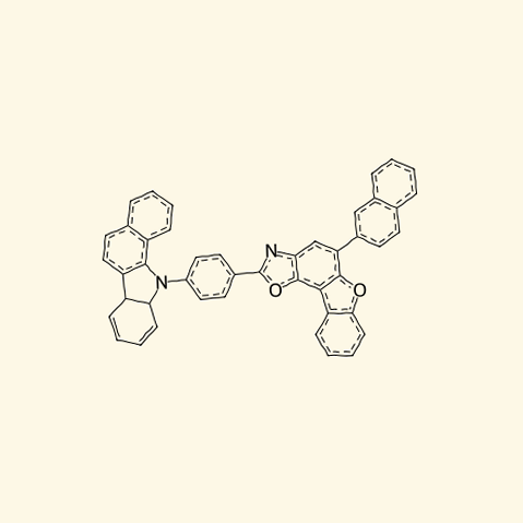 C1=CC2c3ccc4ccccc4c3N(c3ccc(-c4nc5cc(-c6ccc7ccccc7c6)c6oc7ccccc7c6c5o4)cc3)C2C=C1